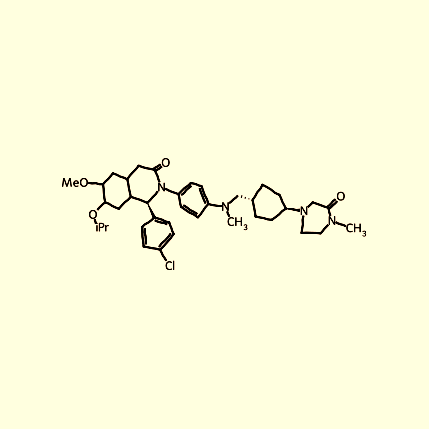 COC1CC2CC(=O)N(c3ccc(N(C)C[C@H]4CC[C@H](N5CCN(C)C(=O)C5)CC4)cc3)[C@@H](c3ccc(Cl)cc3)C2CC1OC(C)C